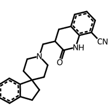 N#Cc1cccc2c1NC(=O)C(CN1CCC3(CCc4ccccc43)CC1)C2